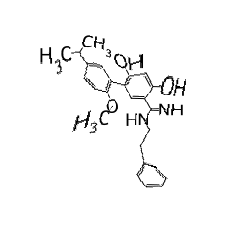 COc1ccc(C(C)C)cc1-c1cc(C(=N)NCCc2ccccc2)c(O)cc1O